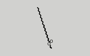 C=CCOC(=O)C=CC=CC=CC=CC=CCCCCCCCCCCC